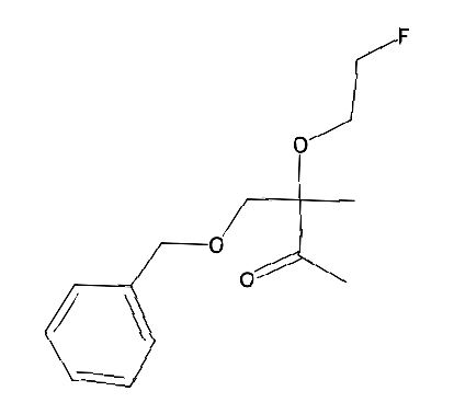 CC(=O)C(C)(COCc1ccccc1)OCCF